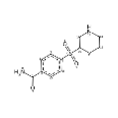 NC(=O)c1ccc(S(=O)(=O)C2CCCNC2)cc1